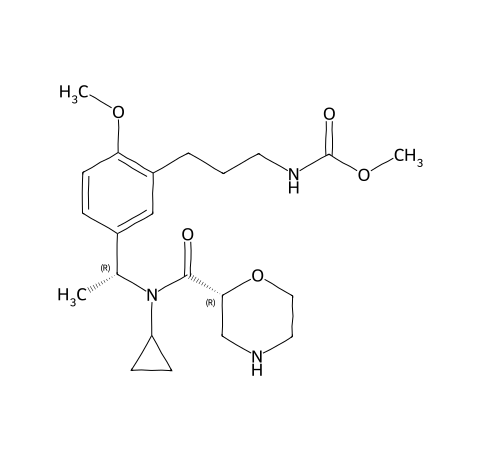 COC(=O)NCCCc1cc([C@@H](C)N(C(=O)[C@H]2CNCCO2)C2CC2)ccc1OC